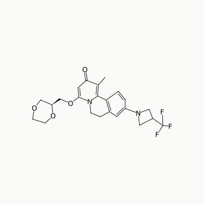 Cc1c2n(c(OC[C@@H]3COCCO3)cc1=O)CCc1cc(N3CC(C(F)(F)F)C3)ccc1-2